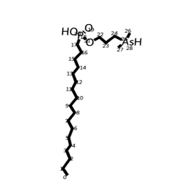 CCCCCCCCCCCCCCCCCCP(=O)(O)OCCC[AsH](C)(C)C